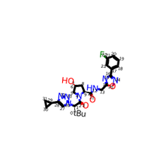 CC(C)(C)[C@@H](C(=O)N1C[C@H](O)C[C@H]1C(=O)NCc1nc(-c2cccc(F)c2)no1)n1cc(C2CC2)nn1